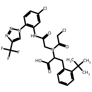 CC(C)(C)c1ccccc1CC(C(=O)O)N(CC(=O)Nc1cc(Cl)ccc1-n1cc(C(F)(F)F)nn1)C(=O)CCl